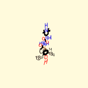 CC1(C)CC(NC(=O)C(=O)NNC(=O)C(CC(=O)O)Sc2cc(C(C)(C)C)c(O)c(C(C)(C)C)c2)CC(C)(C)N1